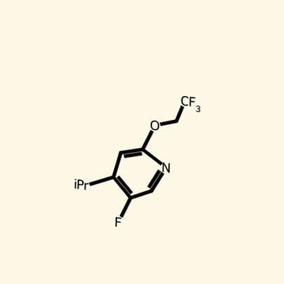 CC(C)c1cc(OCC(F)(F)F)ncc1F